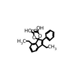 CCC1=C(c2ccccc2)C(OC(=O)O)(OC(=O)O)c2c(CC)cccc21